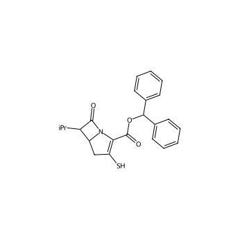 CC(C)C1C(=O)N2C(C(=O)OC(c3ccccc3)c3ccccc3)=C(S)CC12